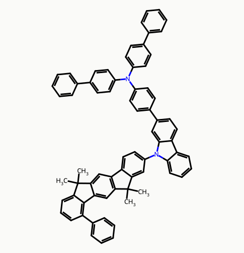 CC1(C)c2cc(-n3c4ccccc4c4ccc(-c5ccc(N(c6ccc(-c7ccccc7)cc6)c6ccc(-c7ccccc7)cc6)cc5)cc43)ccc2-c2cc3c(cc21)-c1c(-c2ccccc2)cccc1C3(C)C